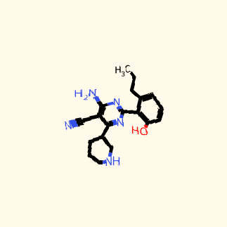 CCCc1cccc(O)c1-c1nc(N)c(C#N)c(C2CCCNC2)n1